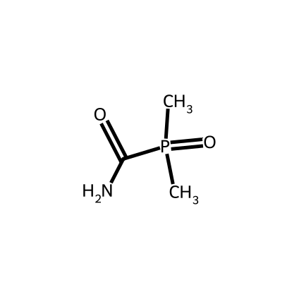 CP(C)(=O)C(N)=O